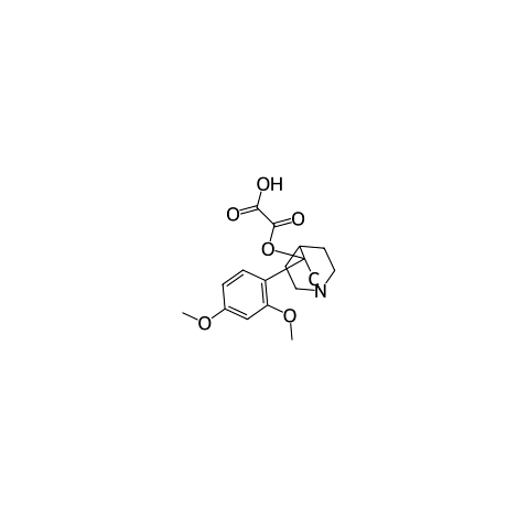 COc1ccc(C2(OC(=O)C(=O)O)CN3CCC2CC3)c(OC)c1